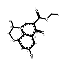 CCOC(=O)c1cn2c3c(cc(Cl)cc3c1=O)OCC2C